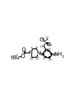 CC(C)(C)OC(=O)N1CCN(c2ccc(N)cc2CS(C)(=O)=O)CC1